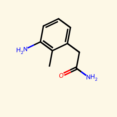 Cc1c(N)cccc1CC(N)=O